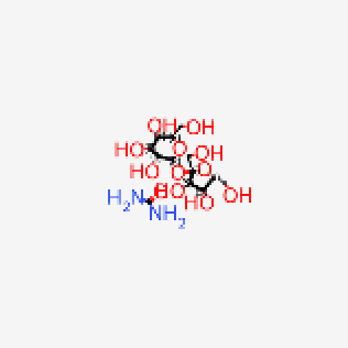 NC(N)=O.OC[C@H]1O[C@@](CO)(O[C@H]2O[C@H](CO)[C@@H](O)[C@H](O)[C@H]2O)[C@@H](O)[C@@H]1O